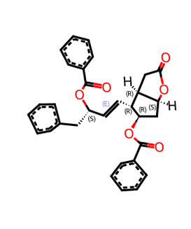 O=C1C[C@@H]2[C@@H](/C=C/[C@H](Cc3ccccc3)OC(=O)c3ccccc3)[C@H](OC(=O)c3ccccc3)C[C@@H]2O1